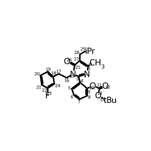 Cc1nc(-c2ccccc2OC(=O)OC(C)(C)C)n(CCc2cccc(F)c2)c(=O)c1CC(C)C